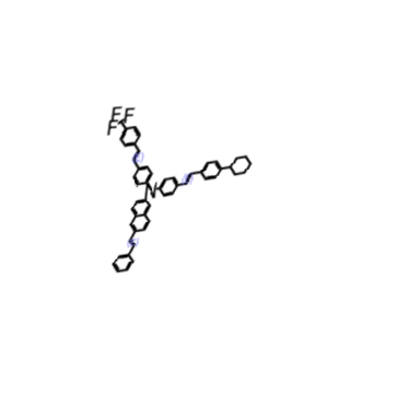 FC(F)(F)c1ccc(/C=C/c2ccc(N(c3ccc(/C=C/c4ccc(C5CCCCC5)cc4)cc3)c3ccc4cc(/C=C/c5ccccc5)ccc4c3)cc2)cc1